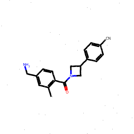 [CH2]c1cc(CN)ccc1C(=O)N1CC(c2ccc(C#N)cc2)C1